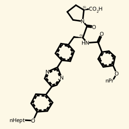 CCCCCCCOc1ccc(-c2cnc(-c3ccc(C[C@H](NC(=O)c4ccc(OCCC)cc4)C(=O)N4CCC[C@H]4C(=O)O)cc3)nc2)cc1